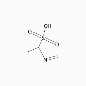 C=NC(C)S(=O)(=O)O